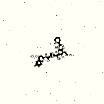 CCC(C)C(NC(=O)C1CCCCN1C)C(=O)N(CCOC)[C@H](C[C@@H](O)c1nc(C(=O)NCC[C@@H](C(=O)O)c2cc(F)ccc2C)cs1)C(C)C